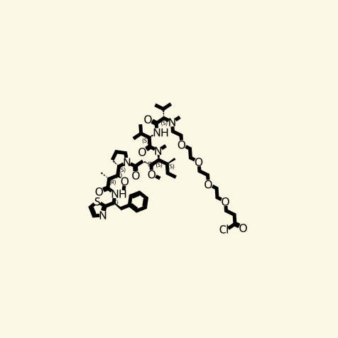 CC[C@H](C)[C@@H]([C@@H](CC(=O)N1CCC[C@H]1[C@H](OC)[C@@H](C)C(=O)N[C@@H](Cc1ccccc1)c1nccs1)OC)N(C)C(=O)[C@@H](NC(=O)[C@H](C(C)C)N(C)CCOCCOCCOCCOCCC(=O)Cl)C(C)C